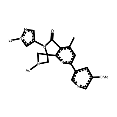 CCn1cc(N2C(=O)c3c(C)cc(-c4cncc(OC)c4)nc3C23CN(C(C)=O)C3)cn1